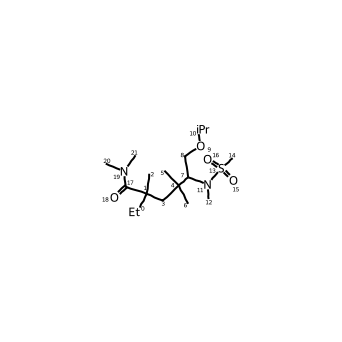 CCC(C)(CC(C)(C)C(COC(C)C)N(C)S(C)(=O)=O)C(=O)N(C)C